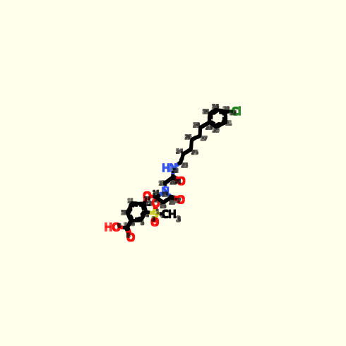 CS(=O)(=O)c1cc(C(=O)O)ccc1OC1CC(=O)N1CC(=O)NCCCCCCc1ccc(Cl)cc1